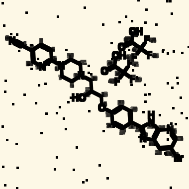 N#Cc1ccc(N2CCN(CC(O)COc3ccc(-c4nc5cc(Br)cnc5[nH]4)cc3)CC2)nc1.O=C(O)C(F)(F)F.O=C(O)C(F)(F)F